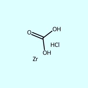 Cl.O=C(O)O.[Zr]